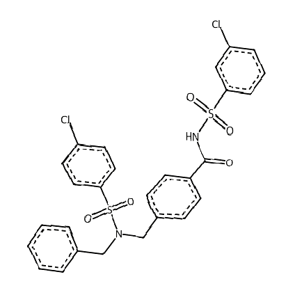 O=C(NS(=O)(=O)c1cccc(Cl)c1)c1ccc(CN(Cc2ccccc2)S(=O)(=O)c2ccc(Cl)cc2)cc1